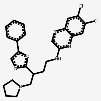 Clc1cc2ncc(NCCC(CN3CCCC3)c3ncc(-c4ccccc4)o3)nc2cc1Cl